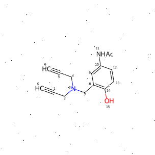 C#CCN(CC#C)Cc1cc(NC(C)=O)ccc1O